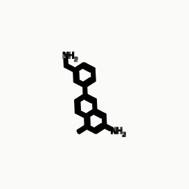 Cc1cc(N)cc2cc(-c3cccc(CN)c3)ccc12